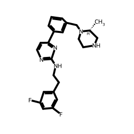 C[C@@H]1CNCCN1Cc1cccc(-c2ccnc(NCCc3cc(F)cc(F)c3)n2)c1